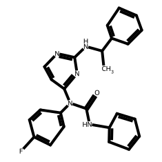 CC(Nc1nccc(N(C(=O)Nc2ccccc2)c2ccc(F)cc2)n1)c1ccccc1